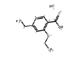 CCOc1cc(CN)ccc1C(=O)O.Cl